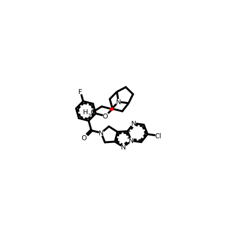 CCCN1C2CCC1CC(Oc1cc(F)ccc1C(=O)N1Cc3nn4cc(Cl)cnc4c3C1)C2